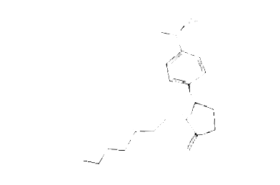 CCCCC[C@H](O)c1ccc([C@H]2CCC(=O)[C@@H]2CCCCCCC=O)cc1